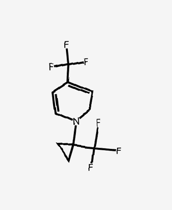 FC(F)(F)C1=CCN(C2(C(F)(F)F)CC2)C=C1